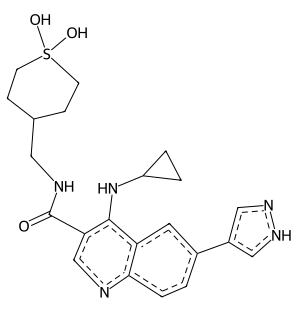 O=C(NCC1CCS(O)(O)CC1)c1cnc2ccc(-c3cn[nH]c3)cc2c1NC1CC1